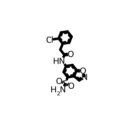 NS(=O)(=O)c1cc(NC(=O)Cc2ccccc2Cl)cc2oncc12